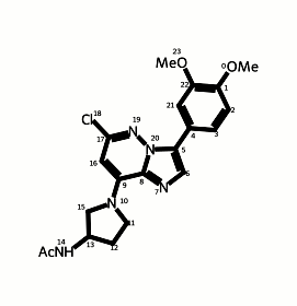 COc1ccc(-c2cnc3c(N4CCC(NC(C)=O)C4)cc(Cl)nn23)cc1OC